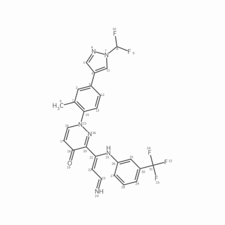 Cc1cc(-c2cnn(C(F)F)c2)ccc1-n1ccc(=O)c(/C(=C/C=N)Nc2cccc(C(F)(F)F)c2)n1